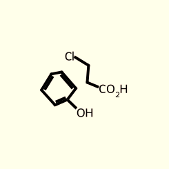 O=C(O)CCCl.Oc1ccccc1